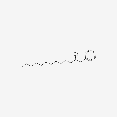 CCCCCCCCCCCC(Br)Cc1ccccc1